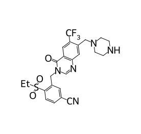 CCS(=O)(=O)c1ccc(C#N)cc1Cn1cnc2cc(CN3CCNCC3)c(C(F)(F)F)cc2c1=O